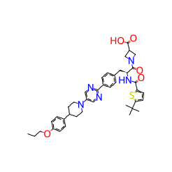 CCCOc1ccc(C2CCN(c3cnc(-c4ccc(C[C@H](NC(=O)c5ccc(C(C)(C)C)s5)C(=O)N5CC(C(=O)O)C5)cc4)nc3)CC2)cc1